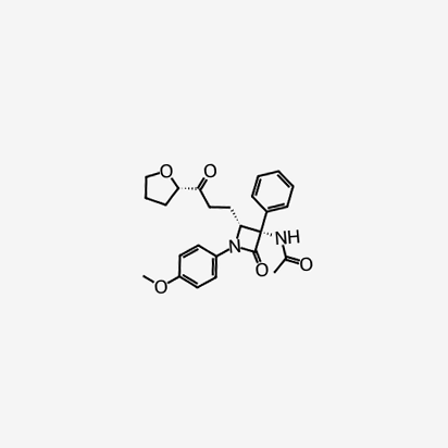 COc1ccc(N2C(=O)[C@](NC(C)=O)(c3ccccc3)[C@H]2CCC(=O)[C@@H]2CCCO2)cc1